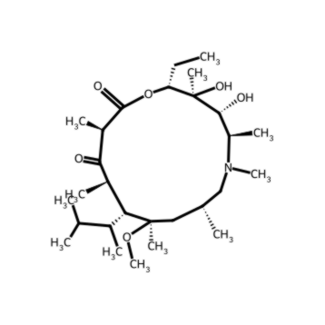 CC[C@H]1OC(=O)[C@H](C)C(=O)[C@H](C)[C@@H](C(C)C(C)C)[C@](C)(OC)C[C@@H](C)CN(C)[C@H](C)[C@@H](O)[C@]1(C)O